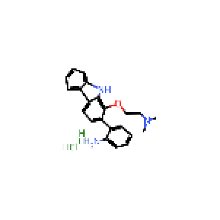 CN(C)CCOc1c(-c2ccccc2N)ccc2c1[nH]c1ccccc12.Cl.Cl